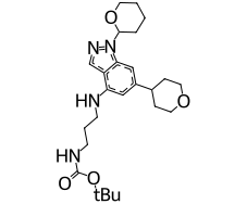 CC(C)(C)OC(=O)NCCCNc1cc(C2CCOCC2)cc2c1cnn2C1CCCCO1